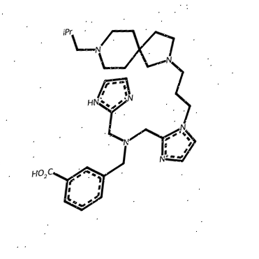 CC(C)CN1CCC2(CC1)CCN(CCCn1ccnc1CN(Cc1cccc(C(=O)O)c1)Cc1ncc[nH]1)C2